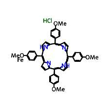 COc1ccc(-c2c3nc(c(-c4ccc(OC)cc4)c4ccc([nH]4)c(-c4ccc(OC)cc4)c4nc(c(-c5ccc(OC)cc5)c5ccc2[nH]5)C=C4)C=C3)cc1.Cl.[Fe]